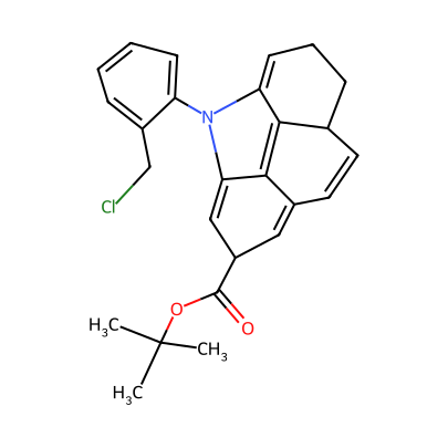 CC(C)(C)OC(=O)C1C=C2C=CC3CCC=c4c3c2c(n4-c2ccccc2CCl)=C1